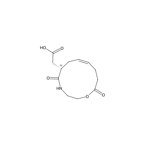 O=C(O)C[C@@H]1CC=CCCC(=O)OCCNC1=O